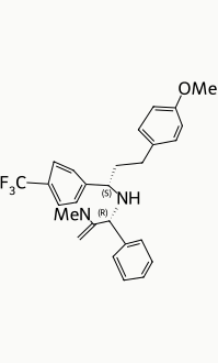 C=C(NC)[C@H](N[C@@H](CCc1ccc(OC)cc1)c1ccc(C(F)(F)F)cc1)c1ccccc1